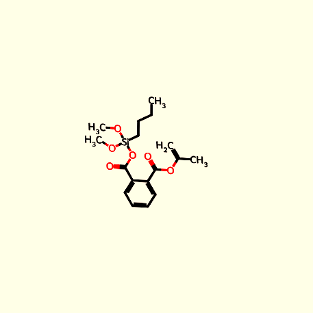 C=C(C)OC(=O)c1ccccc1C(=O)O[Si](CCCC)(OC)OC